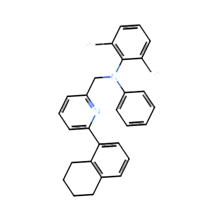 CC(C)c1cccc(C(C)C)c1N(Cc1cccc(-c2cccc3c2CCCC3)n1)c1ccccc1